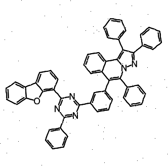 c1ccc(-c2nc(-c3cccc(-c4c(-c5ccccc5)n5nc(-c6ccccc6)c(-c6ccccc6)c5c5ccccc45)c3)nc(-c3cccc4c3oc3ccccc34)n2)cc1